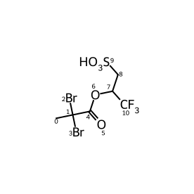 CC(Br)(Br)C(=O)OC(CS(=O)(=O)O)C(F)(F)F